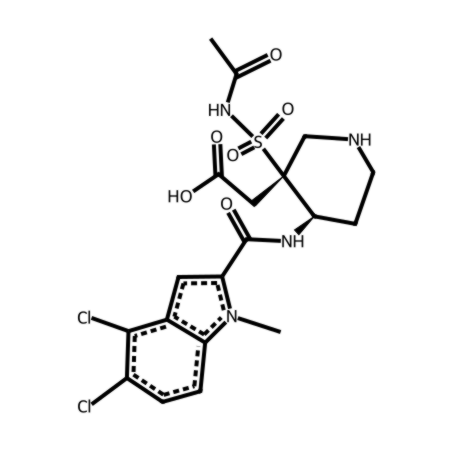 CC(=O)NS(=O)(=O)[C@]1(CC(=O)O)CNCC[C@H]1NC(=O)c1cc2c(Cl)c(Cl)ccc2n1C